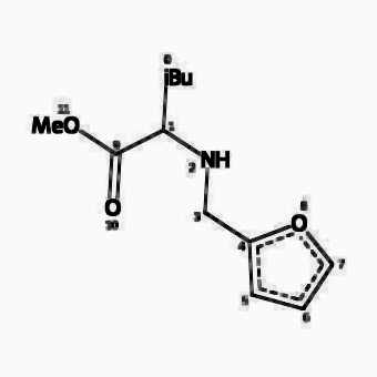 CCC(C)C(NCc1ccco1)C(=O)OC